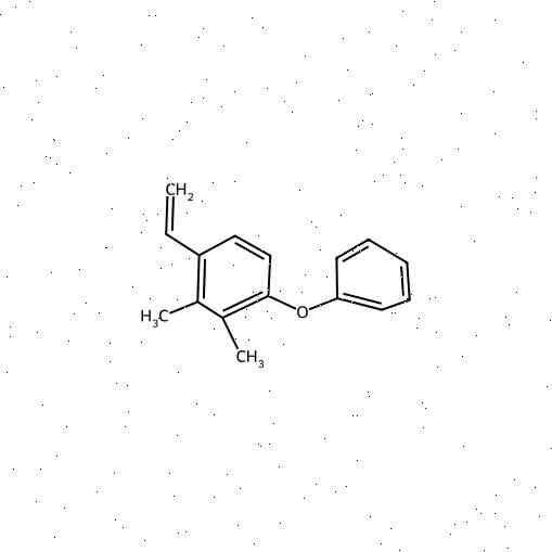 C=Cc1ccc(Oc2ccccc2)c(C)c1C